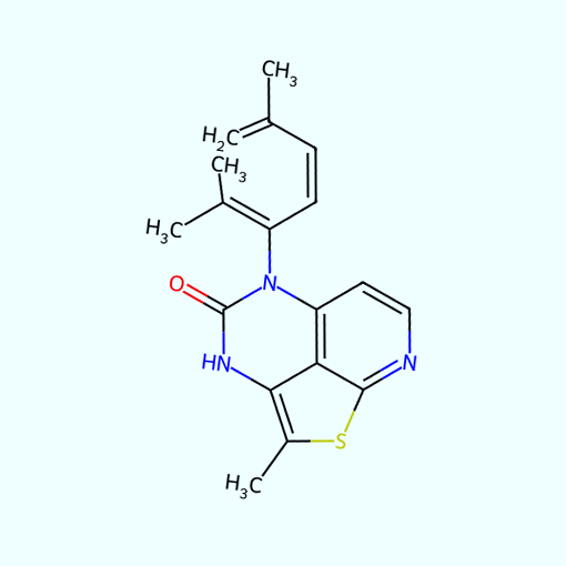 C=C(C)/C=C\C(=C(C)C)N1C(=O)Nc2c(C)sc3nccc1c23